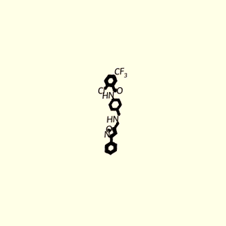 O=C(NC1CCC(CNCc2cc(-c3ccccc3)no2)CC1)c1cc(C(F)(F)F)ccc1Cl